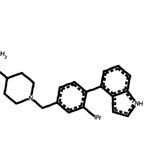 CC(C)c1cc(CN2CCC(CN)CC2)ccc1-c1cccc2[nH]ccc12